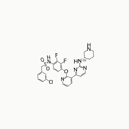 O=S(=O)(Cc1cccc(Cl)c1)Nc1ccc(Oc2ncccc2-c2ccnc(N[C@H]3CCCNC3)n2)c(F)c1F